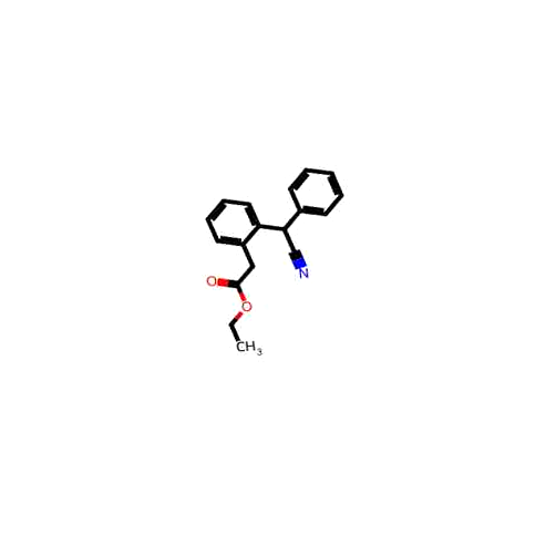 CCOC(=O)Cc1ccccc1C(C#N)c1ccccc1